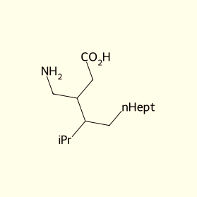 CCCCCCCCC(C(C)C)C(CN)CC(=O)O